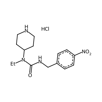 CCN(C(=O)NCc1ccc([N+](=O)[O-])cc1)C1CCNCC1.Cl